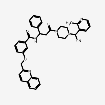 Cc1ncccc1C(C#N)N1CCN(C(=O)CC(NC(=O)c2cccc(OCc3ccc4ccccc4n3)c2)c2ccccc2)CC1